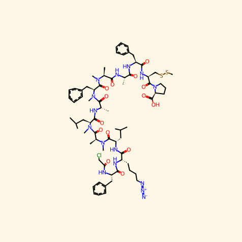 CSSC[C@H](NC(=O)[C@H](Cc1ccccc1)NC(=O)[C@H](C)NC(=O)[C@H](C)N(C)C(=O)[C@H](Cc1ccccc1)N(C)C(=O)[C@H](C)NC(=O)[C@H](CC(C)C)N(C)C(=O)[C@H](C)N(C)C(=O)[C@H](CC(C)C)NC(=O)[C@H](CCCCN=[N+]=[N-])NC(=O)[C@H](Cc1ccccc1)NC(=O)CCl)C(=O)N1CCC[C@H]1C(=O)O